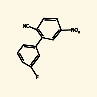 N#Cc1ccc([N+](=O)[O-])cc1-c1cccc(F)c1